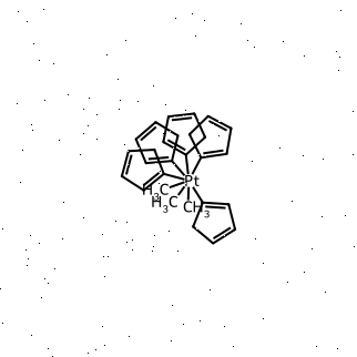 [CH3][Pt]([CH3])([CH3])([C]1=CC=CC1)([C]1=CC=CC1)([C]1=CC=CC1)([C]1=CC=CC1)[C]1=CC=CC1